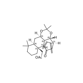 C=C1C(=C)[C@@]23[C@@H]4OC(C)(C)O[C@@H]2C[C@@H]2C(C)(C)CCC[C@@]2(COC(C)=O)[C@@H]3C(=O)C[C@@H]14